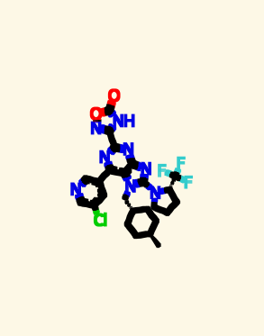 C[C@H]1CC[C@H](Cn2c(N3CCC[C@H]3C(F)(F)F)nc3nc(-c4noc(=O)[nH]4)nc(-c4cncc(Cl)c4)c32)CC1